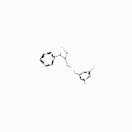 Cc1cc(C)cc(COCC2CNC2c2ccccc2)c1